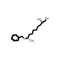 C[C@@H](CCCCCC[C@@H](O)CO)OCc1ccccc1